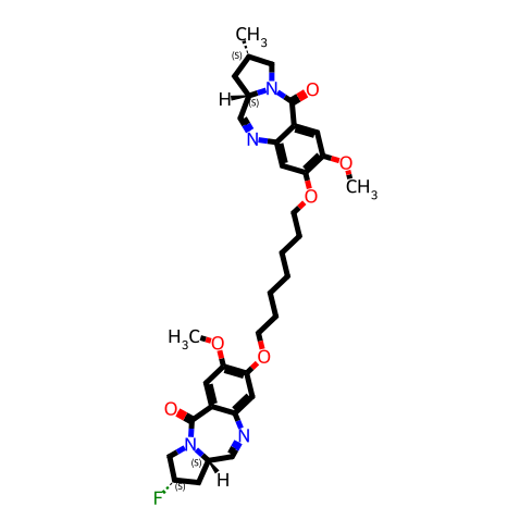 COc1cc2c(cc1OCCCCCCCOc1cc3c(cc1OC)C(=O)N1C[C@@H](F)C[C@H]1C=N3)N=C[C@@H]1C[C@H](C)CN1C2=O